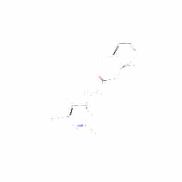 Nc1nc(Cl)c(I)c(NNC(=O)Cc2ncccc2F)n1